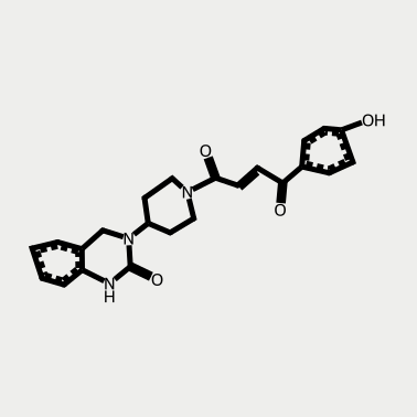 O=C(C=CC(=O)N1CCC(N2Cc3ccccc3NC2=O)CC1)c1ccc(O)cc1